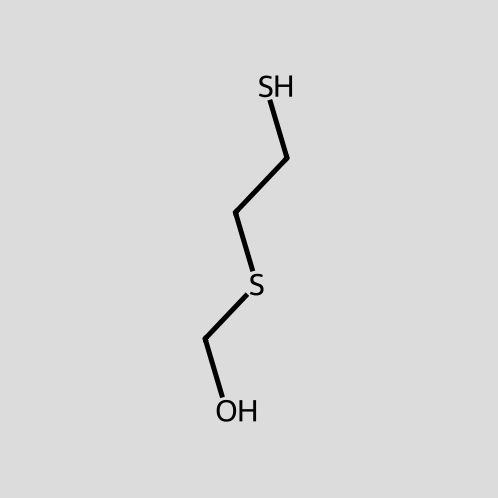 OCSCCS